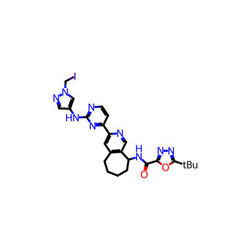 CC(C)(C)c1nnc(C(=O)NC2CCCCc3cc(-c4ccnc(Nc5cnn(CI)c5)n4)ncc32)o1